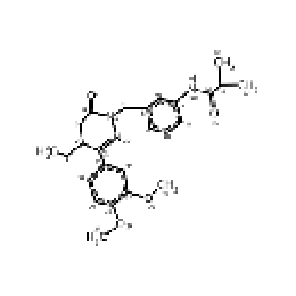 CCC1CC(=O)N(Cc2cccc(NC(=O)C(C)C)c2)N=C1c1ccc(OC)c(OC)c1